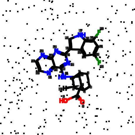 O=C(O)[C@@H]1C2CCC(CC2)C1Nc1nc(-c2c[nH]c3c(F)cc(F)cc23)nc2nccnc12